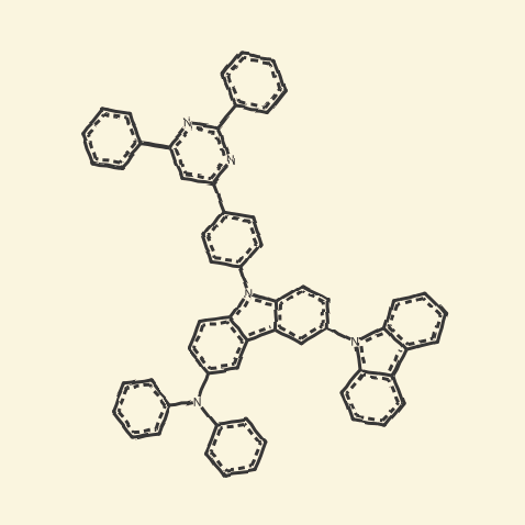 c1ccc(-c2cc(-c3ccc(-n4c5ccc(N(c6ccccc6)c6ccccc6)cc5c5cc(-n6c7ccccc7c7ccccc76)ccc54)cc3)nc(-c3ccccc3)n2)cc1